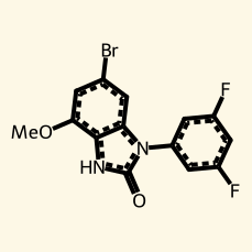 COc1cc(Br)cc2c1[nH]c(=O)n2-c1cc(F)cc(F)c1